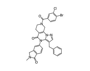 CN1Cc2cc(-n3c(=O)c4c(n5ncc(Cc6ccccc6)c35)CN(C(=O)c3ccc(Br)c(Cl)c3)CC4)ccc2C1=O